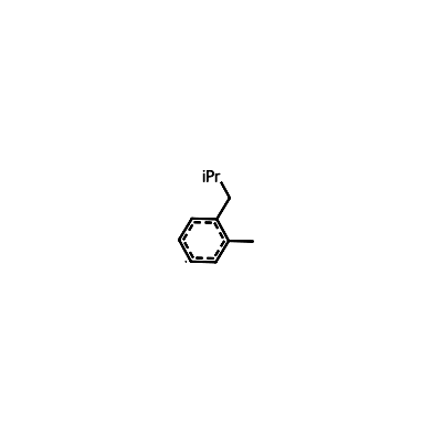 Cc1c[c]ccc1CC(C)C